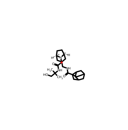 CC(C)(CO)NC(=O)CN1[C@@H]2CC[C@H]1CC(CNC(=O)C13CC4CC(CC1C4)C3)C2